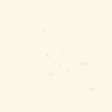 CNC(=O)N(CCCN)[C@@H](c1nc(-c2cc(F)ccc2F)cn1Cc1ccccc1)C(C)(C)C